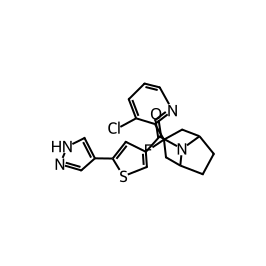 O=C(c1csc(-c2cn[nH]c2)c1)N1C2CCC1CC(F)(c1ncccc1Cl)C2